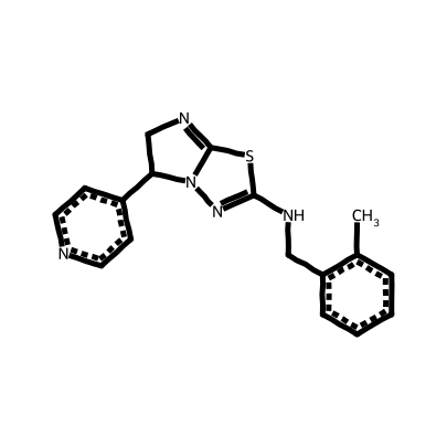 Cc1ccccc1CNC1=NN2C(=NCC2c2ccncc2)S1